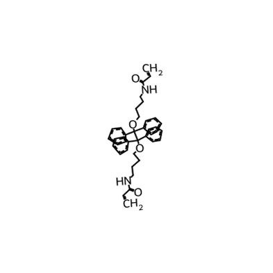 C=CC(=O)NCCCCOC(c1ccccc1)(c1ccccc1)C(OCCCCNC(=O)C=C)(c1ccccc1)c1ccccc1